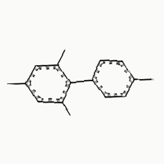 Fc1[c]c(F)c(-c2ccc(Cl)cc2)c(F)c1